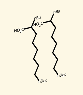 CCCCCCCCCCCCCCCCC(CCCC)C(=O)O.CCCCCCCCCCCCCCCCC(CCCC)C(=O)O